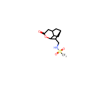 O=C1CC2CC3CC2C(O1)C3CNS(=O)(=O)C(F)(F)F